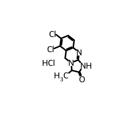 CC1C(=O)NC2=Nc3ccc(Cl)c(Cl)c3CN21.Cl